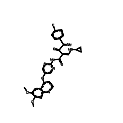 COc1cc2nccc(Oc3cnc(NC(=O)/C(=C/NC4CC4)C(=O)C(=N)c4ccc(F)cc4)nc3)c2cc1OC